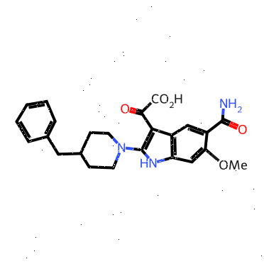 COc1cc2[nH]c(N3CCC(Cc4ccccc4)CC3)c(C(=O)C(=O)O)c2cc1C(N)=O